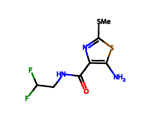 CSc1nc(C(=O)NCC(F)F)c(N)s1